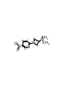 CN(C)C1CN(c2ccc([N+](=O)[O-])cn2)C1